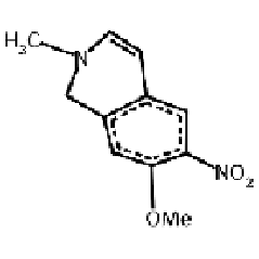 COc1cc2c(cc1[N+](=O)[O-])C=CN(C)C2